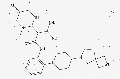 CN1CC(Cl)CNC1C(C(=O)Nc1cnccc1N1CCC(N2CCC3(COC3)C2)CC1)C(N)N=O